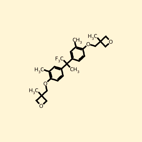 Cc1cc(C(C)(c2ccc(OCC3(C)COC3)c(C)c2)C(F)(F)F)ccc1OCC1(C)COC1